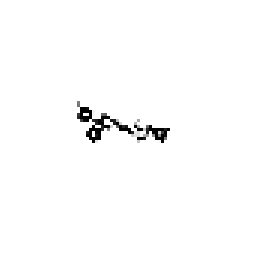 O=C1N(CCCCN2CCC3C(C2)c2cc(F)ccc2N3c2ccc(F)cc2)CCN1Cc1cccc(Cl)c1